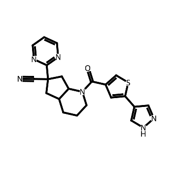 N#CC1(c2ncccn2)CC2CCCN(C(=O)c3csc(-c4cn[nH]c4)c3)C2C1